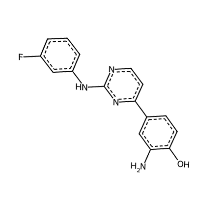 Nc1cc(-c2ccnc(Nc3cccc(F)c3)n2)ccc1O